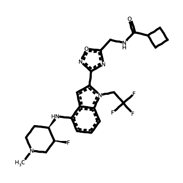 CN1CC[C@@H](Nc2cccc3c2cc(-c2noc(CNC(=O)C4CCC4)n2)n3CC(F)(F)F)[C@@H](F)C1